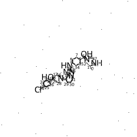 CC1CN(C(O)c2ccc(Nc3nc4c(N5CCC(O)(c6ccc(Cl)cc6)CC5)cccn4n3)cc2)CCN1